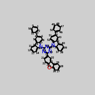 c1ccc(-c2ccc3c(c2)c2ccccc2n3-c2nc(-c3ccc4oc5ccccc5c4c3)nc(-n3c4ccccc4c4cc(-c5ccccc5)ccc43)n2)cc1